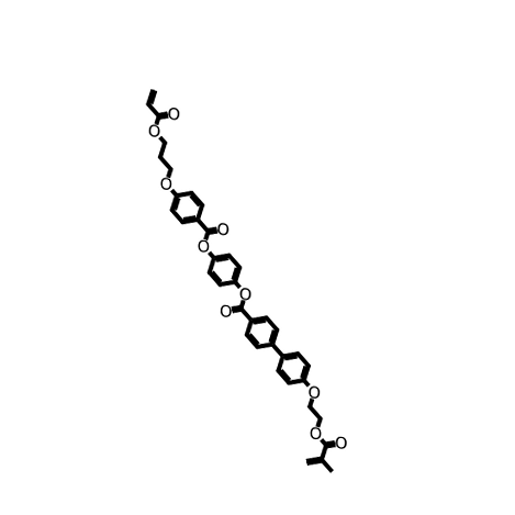 C=CC(=O)OCCCOc1ccc(C(=O)Oc2ccc(OC(=O)c3ccc(-c4ccc(OCCOC(=O)C(=C)C)cc4)cc3)cc2)cc1